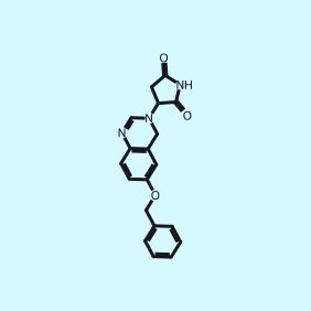 O=C1CC(N2C=Nc3ccc(OCc4ccccc4)cc3C2)C(=O)N1